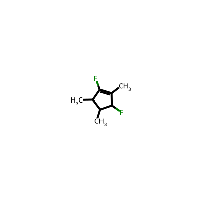 CC1=C(F)C(C)C(C)C1F